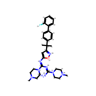 CN1CCN(C(=N/c2cc(C(C)(C)c3ccc(-c4ccccc4F)cc3)no2)/N=C(\N)N2CCN(C)CC2)CC1